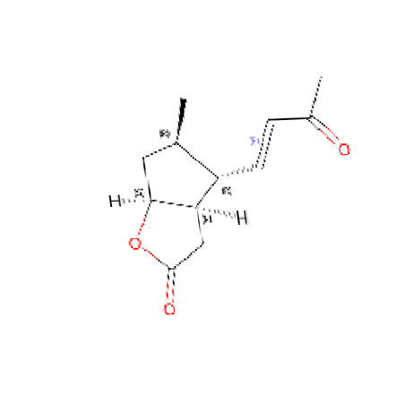 CC(=O)/C=C/[C@@H]1[C@H]2CC(=O)O[C@H]2C[C@H]1C